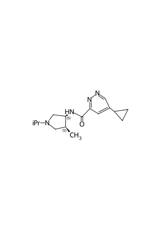 CC(C)N1C[C@H](C)[C@H](NC(=O)c2cc(C3CC3)cnn2)C1